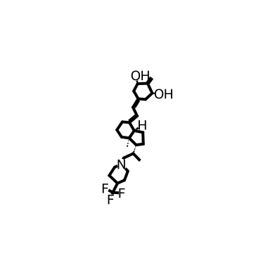 C=C1[C@H](O)CC(=CC=C2CCC[C@]3(C)[C@@H](C(C)CN4CCC(C(F)(F)F)CC4)CC[C@@H]23)C[C@H]1O